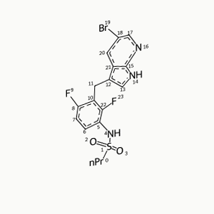 CCCS(=O)(=O)Nc1ccc(F)c(Cc2c[nH]c3ncc(Br)cc23)c1F